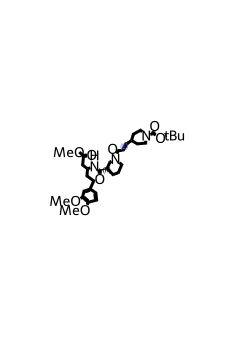 COC(=O)CC(CCc1ccc(OC)c(OC)c1)NC(=O)[C@@H]1CCCN(C(=O)/C=C/C2CCN(C(=O)OC(C)(C)C)CC2)C1